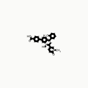 Cc1ccccc1[C@H](CC(=NO)c1ccc(=O)n(C)c1)c1ccc(-c2ccc(C(=O)O)cc2)cc1